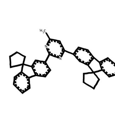 Cc1cc(-c2ccc3c(c2)C2(CCCC2)c2ccccc2-3)nc(-c2ccc3c(c2)C2(CCCC2)c2ccccc2-3)n1